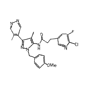 COc1ccc(Cn2nc(-c3cnncc3C)c(C)c2NC(=O)CCc2cnc(Cl)c(F)c2)cc1